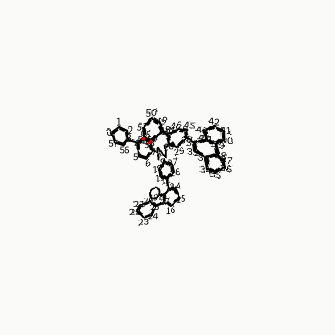 c1ccc(-c2ccc(N(c3ccc(-c4cccc5c4oc4ccccc45)cc3)c3cc(-c4cc5ccccc5c5ccccc45)ccc3-c3ccccc3)cc2)cc1